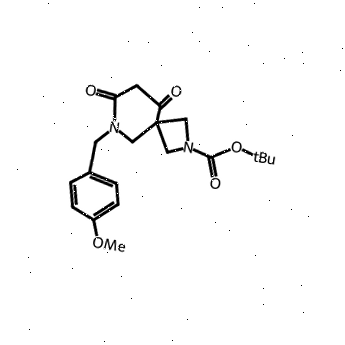 COc1ccc(CN2CC3(CN(C(=O)OC(C)(C)C)C3)C(=O)CC2=O)cc1